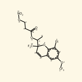 CCc1cc(OC(F)(F)F)cc2c1OC(C(C)OC(=O)CCO[N+](=O)[O-])(C(F)(F)F)C=C2